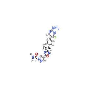 Cc1nc(N)nc(F)c1-c1ccc([C@](C)(c2noc(-c3cnn(CC(=O)N(C)C)c3)n2)C2CC2)cc1